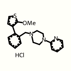 COc1sccc1-c1ccccc1CN1CCN(c2ccccn2)CC1.Cl